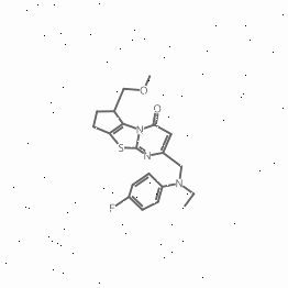 CCN(Cc1cc(=O)n2c3c(sc2n1)CCC3COC)c1ccc(F)cc1